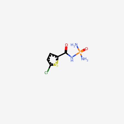 NP(N)(=O)NC(=O)c1ccc(Cl)s1